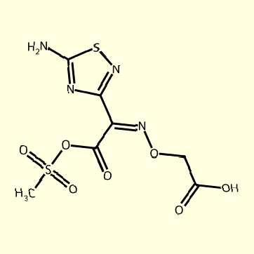 CS(=O)(=O)OC(=O)C(=NOCC(=O)O)c1nsc(N)n1